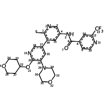 Cc1ncc(NC(=O)c2ccnc(C(F)(F)F)c2)cc1-c1cnc(OC2CCOCC2)c(N2CCOCC2)c1